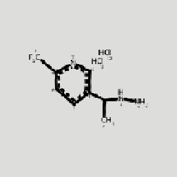 CC(NN)c1ccc(C(F)(F)F)nc1.Cl.Cl